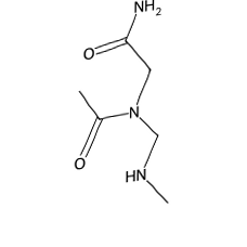 CNCN(CC(N)=O)C(C)=O